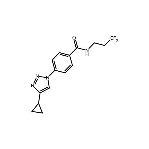 O=C(NCCC(F)(F)F)c1ccc(-n2cc(C3CC3)nn2)cc1